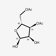 CC(=O)OC[C@H]1O[C@H](O)[C@H](O)[C@@H]1OC(C)=O